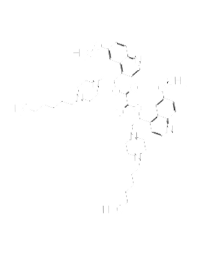 CCCCCCN1CCN(C[C@@H](OC(=O)C(=O)O[C@H](CN2CCN(CCCCCC)CC2)c2ccnc3ccc(OC)cc23)c2ccnc3ccc(OC)cc23)CC1